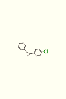 Clc1ccc(C2CC2c2ccccc2)cc1